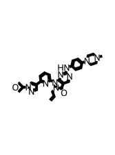 C=CCn1c(=O)c2cnc(Nc3ccc(N4CCN(C)CC4)cc3)nc2n1-c1cccc(-c2cnn(C3COC3)c2)n1